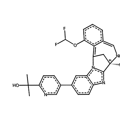 CC(C)(O)c1ccc(-c2ccc3nc4n(c3c2)C2=c3c(OC(F)F)cccc3=CN[C@@H]4C2)cn1